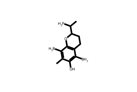 Bc1c(O)c(C)c(B)c2c1CCC(C(C)P)O2